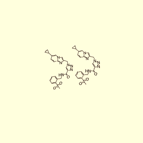 CS(=O)(=O)c1ccccc1CNC(=O)c1cn(Cc2cn3cc(C4CC4)ccc3n2)nn1.CS(=O)(=O)c1ccccc1CNC(=O)c1cn(Cc2cn3cc(C4CC4)ccc3n2)nn1